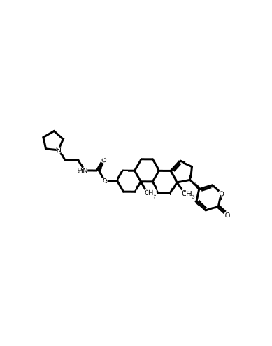 CC12CCC3C(CCC4CC(OC(=O)NCCN5CCCC5)CCC43C)C1=CCC2c1ccc(=O)oc1